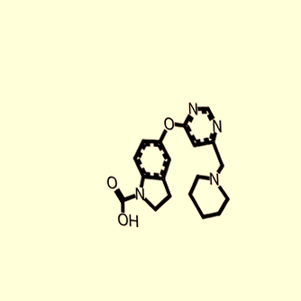 O=C(O)N1CCc2cc(Oc3cc(CN4CCCCC4)ncn3)ccc21